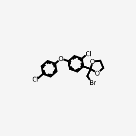 Clc1ccc(Oc2ccc(C3(CBr)OCCO3)c(Cl)c2)cc1